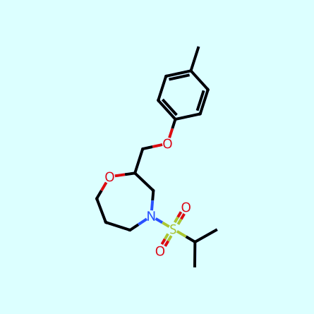 Cc1ccc(OCC2CN(S(=O)(=O)C(C)C)CCCO2)cc1